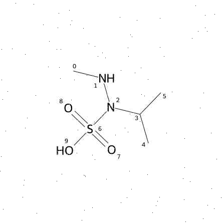 CNN(C(C)C)S(=O)(=O)O